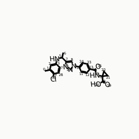 Cc1cc(NC(C)c2cn(-c3ccc(C(=O)NC4(C(=O)O)CC4)cc3)nn2)ccc1Cl